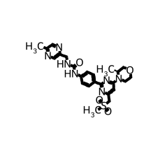 Cc1cnc(CNC(=O)Nc2ccc(-c3nc(CS(C)(=O)=O)cc(N4CCOC[C@@H]4C)n3)cc2)cn1